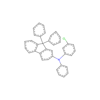 Clc1cccc(N(c2ccccc2)c2ccc3c(c2)C(c2ccccc2)(c2ccccc2)c2ccccc2-3)c1